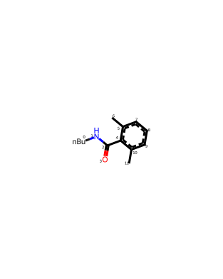 CCCCNC(=O)c1c(C)cccc1C